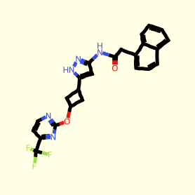 O=C(Cc1cccc2ccccc12)Nc1cc(C2CC(Oc3nccc(C(F)(F)F)n3)C2)[nH]n1